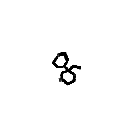 CCC1(N2CCOCC2)CNCCO1